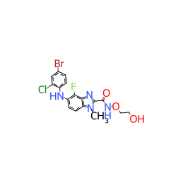 Cn1c(C(=O)NOCCO)nc2c(F)c(Nc3ccc(Br)cc3Cl)ccc21